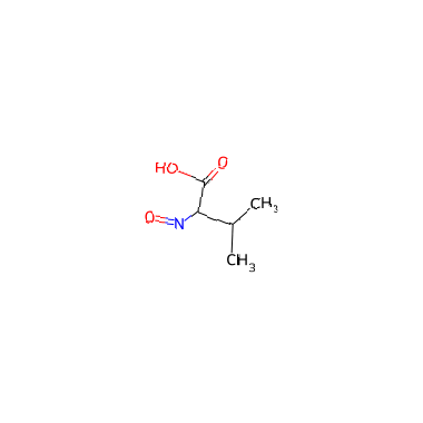 CC(C)C(N=O)C(=O)O